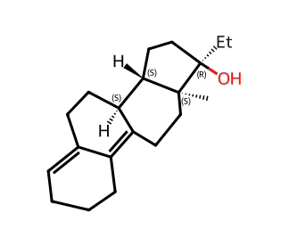 CC[C@@]1(O)CC[C@H]2[C@@H]3CCC4=CCCCC4=C3CC[C@@]21C